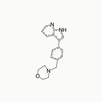 c1cnc2[nH]cc(-c3ccc(CN4CCOCC4)cc3)c2c1